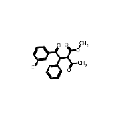 COC(=O)C(C(C)=O)C(C(=O)c1cccc(Cl)c1)c1ccccc1